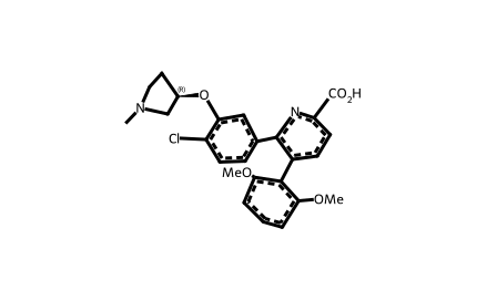 COc1cccc(OC)c1-c1ccc(C(=O)O)nc1-c1ccc(Cl)c(O[C@@H]2CCN(C)C2)c1